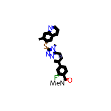 C=C(/C=C\c1nnc(Sc2cc3cccnc3cc2C)n1C)c1ccc(C(=O)NC)c(F)c1